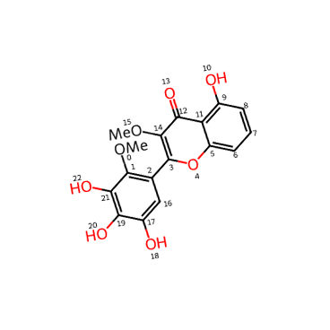 COc1c(-c2oc3cccc(O)c3c(=O)c2OC)cc(O)c(O)c1O